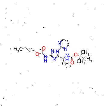 CCCCOC(=O)Nc1nc([C@H](C)NC(=O)OC(C)(C)C)n(-c2ncccn2)n1